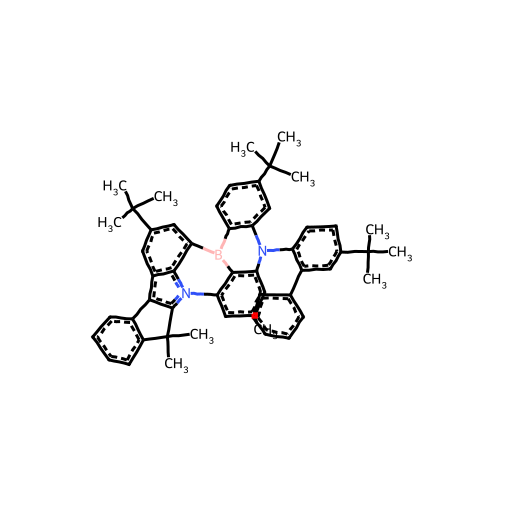 Cc1cc2c3c(c1)-n1c4c(c5cc(C(C)(C)C)cc(c51)B3c1ccc(C(C)(C)C)cc1N2c1ccc(C(C)(C)C)cc1-c1ccccc1)-c1ccccc1C4(C)C